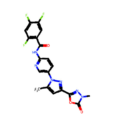 Cn1nc(-c2cc(C(F)(F)F)n(-c3ccc(NC(=O)c4cc(F)c(F)cc4F)nc3)n2)oc1=O